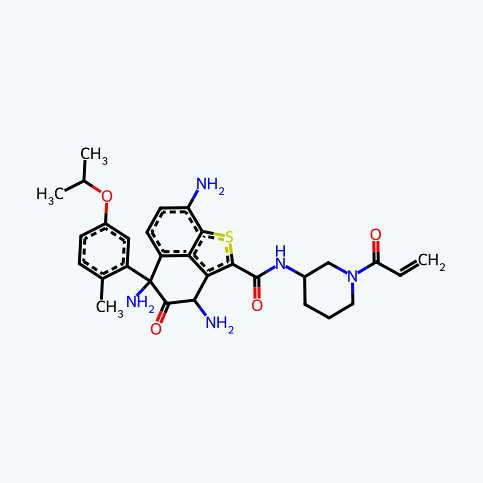 C=CC(=O)N1CCCC(NC(=O)c2sc3c(N)ccc4c3c2C(N)C(=O)C4(N)c2cc(OC(C)C)ccc2C)C1